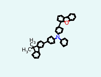 CC1(C)c2ccccc2-c2cc(-c3ccc(N(c4ccccc4)c4ccc(-c5cccc6c5oc5ccccc56)cc4)cc3)ccc21